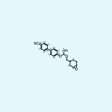 CCCC(OCC1CCC2OC2C1)Oc1ccc(-c2ccc(C#N)cc2)cc1